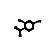 CC(C)c1ccc(C(=O)Cl)c(Cl)c1